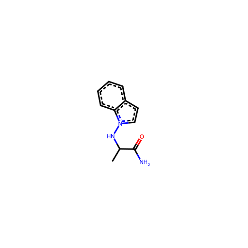 CC(Nn1ccc2ccccc21)C(N)=O